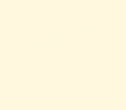 CCN1CCN(Cc2ccc(NC3=N/C=C/CC(C)/C(Oc4ccc5[nH]c(C)cc5c4F)=C\3F)nc2)CC1